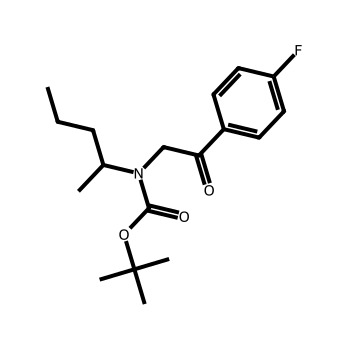 CCCC(C)N(CC(=O)c1ccc(F)cc1)C(=O)OC(C)(C)C